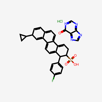 Cl.O=C1N=CN=C2N=CN=C12.O=S(=O)(O)C1CC=c2c(ccc3c4c(ccc23)C=CC(C2CC2)C=4)C1c1ccc(F)cc1